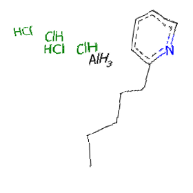 CCCCCc1ccccn1.Cl.Cl.Cl.Cl.[AlH3]